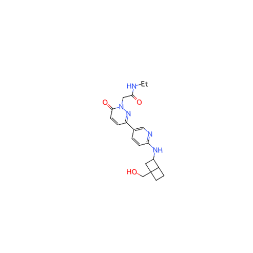 CCNC(=O)Cn1nc(-c2ccc(NC3CC4(CO)CCC34)nc2)ccc1=O